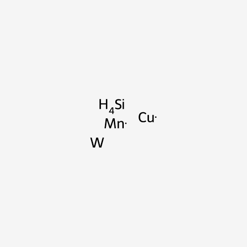 [Cu].[Mn].[SiH4].[W]